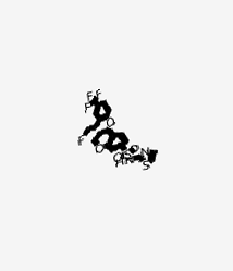 O=S(=O)(Nc1nccs1)c1ccc2c(c1)OCCC2Oc1ccc(C(F)(F)F)cc1CCF